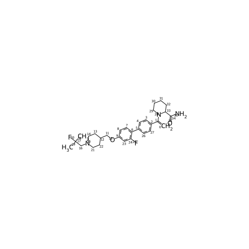 C=C(c1ccc(-c2ccc(OCC3CCN(CC(C)(C)F)CC3)cc2F)cc1)N1CCCCC1C(N)=O